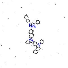 c1ccc(-c2cc(-c3ccc4ccccc4c3)nc(-c3ccc4cc(-n5c6ccccc6c6cc7c8c9ccccc9ccc8n(-c8ccccc8)c7cc65)ccc4c3)n2)cc1